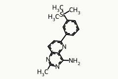 Cc1nc(N)c2nc(-c3cccc([Si](C)(C)C)c3)ccc2n1